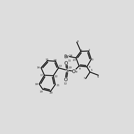 Cc1ccc(C(C)C)c(OS(=O)(=O)c2cccc3ccccc23)c1Br